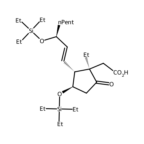 CCCCC[C@@H](C=C[C@H]1[C@H](O[Si](CC)(CC)CC)CC(=O)[C@]1(CC)CC(=O)O)O[Si](CC)(CC)CC